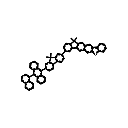 CC1(C)c2cc(-c3ccc4c(c3)-c3cc5cc6oc7ccccc7c6cc5cc3C4(C)C)ccc2-c2ccc(-c3c4ccccc4c(-c4cccc5ccccc45)c4ccccc34)cc21